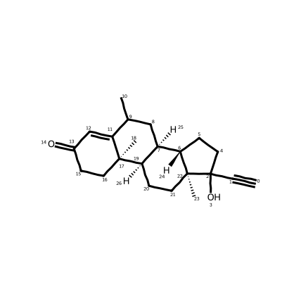 C#CC1(O)CC[C@H]2[C@@H]3CC(C)C4=CC(=O)CC[C@]4(C)[C@@H]3CC[C@@]21C